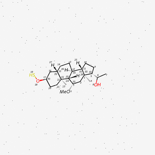 CO[C@H]1C[C@]2(C)[C@@H](C(C)O)CC[C@H]2[C@@H]2CC[C@H]3C[C@H](OS)CC[C@]3(C)[C@H]21